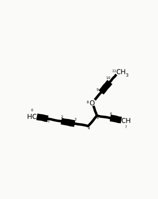 C#CC#CCC(C#C)OC#CC